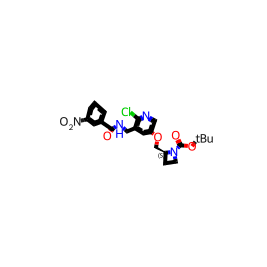 CC(C)(C)OC(=O)N1CC[C@H]1COc1cnc(Cl)c(CNC(=O)c2cccc([N+](=O)[O-])c2)c1